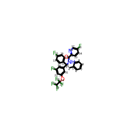 O=C(N[C@](Cc1ccccc1)(c1ccc(F)cc1)c1cc(F)cc(OC(F)(F)C(F)F)c1)c1ccc(F)cn1